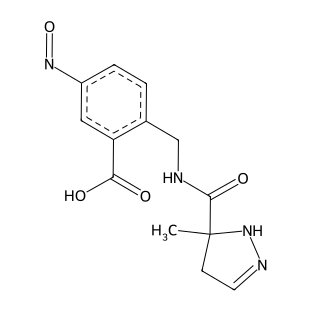 CC1(C(=O)NCc2ccc(N=O)cc2C(=O)O)CC=NN1